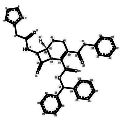 O=C(Cc1cccs1)NC1C(=O)N2C(C(=O)OC(c3ccccc3)c3ccccc3)=C(C(=O)Sc3ccccc3)CS[C@H]12